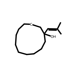 CC(C)=CC1(O)CCCCCCCCCCC1